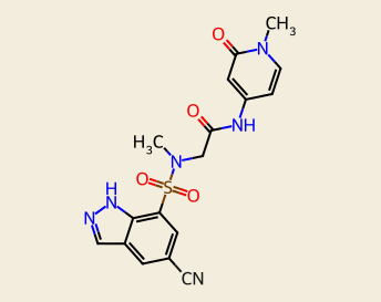 CN(CC(=O)Nc1ccn(C)c(=O)c1)S(=O)(=O)c1cc(C#N)cc2cn[nH]c12